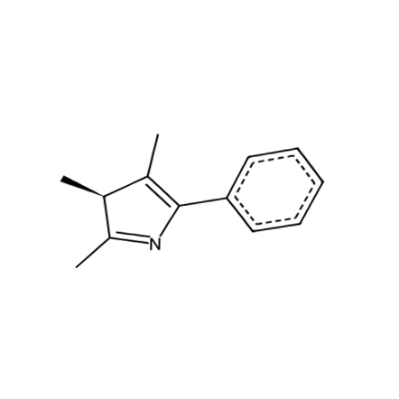 CC1=NC(c2ccccc2)=C(C)[C@@H]1C